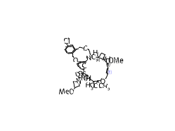 COC1CN(C(=O)N[S@]2(=O)=NC(=O)C(C)(C)OC/C=C/[C@H](OC)[C@@H]3CC[C@H]3CN3CCCCc4cc(Cl)ccc4COc4ccc2cc43)C1